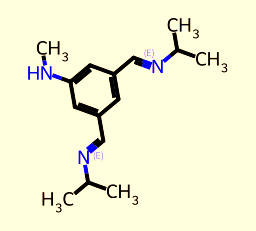 CNc1cc(/C=N/C(C)C)cc(/C=N/C(C)C)c1